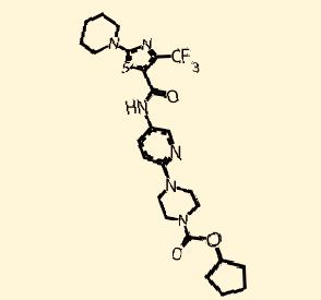 O=C(Nc1ccc(N2CCN(C(=O)OC3CCCC3)CC2)nc1)c1sc(N2CCCCC2)nc1C(F)(F)F